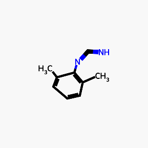 Cc1cccc(C)c1N=C=N